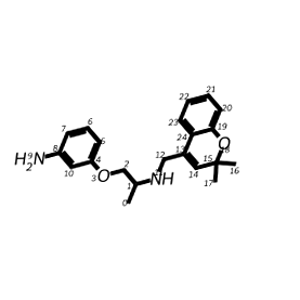 CC(COc1cccc(N)c1)NCC1=CC(C)(C)Oc2ccccc21